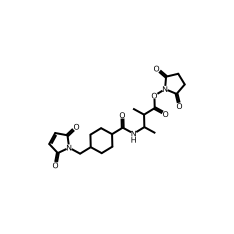 CC(NC(=O)C1CCC(CN2C(=O)C=CC2=O)CC1)C(C)C(=O)ON1C(=O)CCC1=O